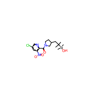 CC(C)(CC1CCN(C(=O)c2ncc(Cl)cc2[N+](=O)[O-])C1)[Si](C)(C)O